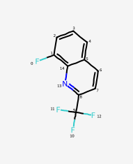 Fc1cccc2ccc(C(F)(F)F)nc12